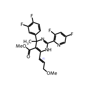 COC/C=C/C1=C(C(=O)OC)C(C)(c2ccc(F)c(F)c2)N=C(c2ncc(F)cc2F)N1